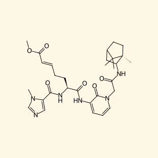 COC(=O)/C=C/CC[C@H](NC(=O)c1cncn1C)C(=O)Nc1cccn(CC(=O)NC2CC3CC[C@]2(C)C3(C)C)c1=O